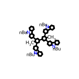 CCCCn1c2ccccc2c2cc(-c3cc(-c4cc(-c5ccc6c(c5)c5ccccc5n6CCCC)c(C)c(-c5ccc6c(c5)c5ccccc5n6CCCC)c4)cc(-c4ccc5c(c4)c4ccccc4n5CCCC)c3C)ccc21